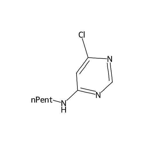 CCCCCNc1cc(Cl)ncn1